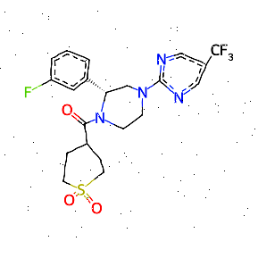 O=C(C1CCS(=O)(=O)CC1)N1CCN(c2ncc(C(F)(F)F)cn2)C[C@H]1c1cccc(F)c1